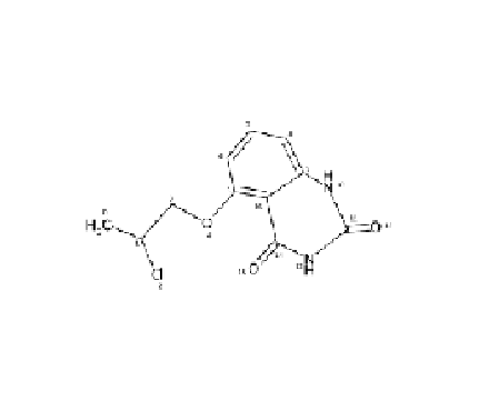 CC(Cl)COc1cccc2[nH]c(=O)[nH]c(=O)c12